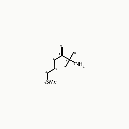 C=C(CCCSC)C(C)(C)N